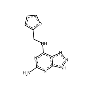 Nc1nc(NCc2ccco2)c2nn[nH]c2n1